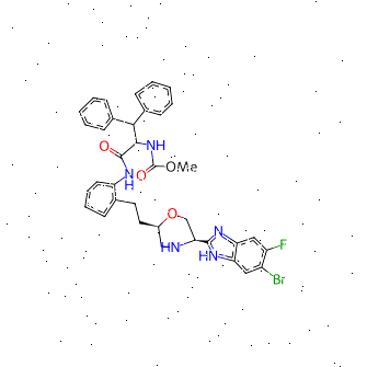 COC(=O)NC(C(=O)Nc1ccccc1CC[C@@H]1CN[C@H](c2nc3cc(F)c(Br)cc3[nH]2)CO1)C(c1ccccc1)c1ccccc1